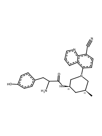 C[C@H]1C[C@@H](NC(=O)C(N)Cc2ccc(O)cc2)CN(c2ccc(C#N)c3ncccc23)C1